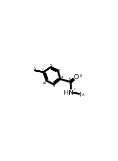 Cc1ccc(C(=O)NI)cc1